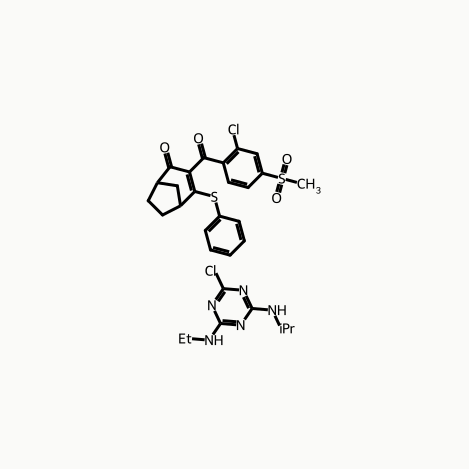 CCNc1nc(Cl)nc(NC(C)C)n1.CS(=O)(=O)c1ccc(C(=O)C2=C(Sc3ccccc3)C3CCC(C3)C2=O)c(Cl)c1